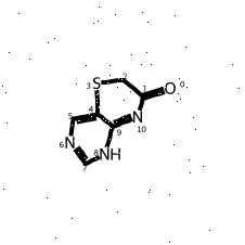 O=C1CSC2=CN=CNC2=N1